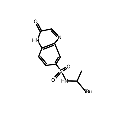 CCC(C)C(C)NS(=O)(=O)c1ccc2[nH]c(=O)cnc2c1